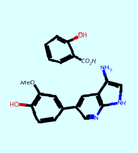 COc1cc(-c2cnc3[nH]cc(N)c3c2)ccc1O.O=C(O)c1ccccc1O